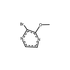 COc1nccnc1Br